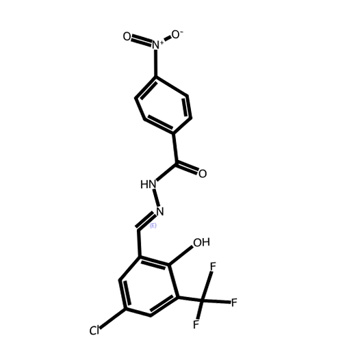 O=C(N/N=C/c1cc(Cl)cc(C(F)(F)F)c1O)c1ccc([N+](=O)[O-])cc1